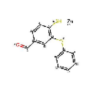 O=Cc1ccc(S)c(Sc2ccccc2)c1.[Zn]